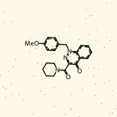 COc1ccc(Cn2nc(C(=O)N3CCCCC3)c(=O)c3ccccc32)cc1